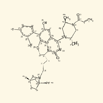 C=CC(=O)N1C[C@H](C)N(c2nc(=O)n3c4c(c(-c5ccc(F)cc5F)c(C#N)cc24)OC[C@H]3CCCN2C[C@H]3CC[C@@H]2C3)C[C@H]1C